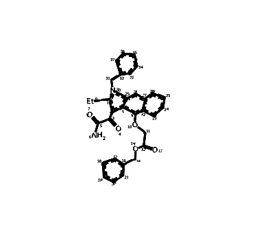 CCc1c(C(=O)C(N)=O)c2c(OCC(=O)OCc3ccccc3)c3ccccc3cc2n1Cc1ccccc1